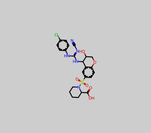 N#CN=C(Nc1ccc(Cl)cc1)NC1c2cc(S(=O)(=O)N3CCCCC3C(=O)O)ccc2OCC1O